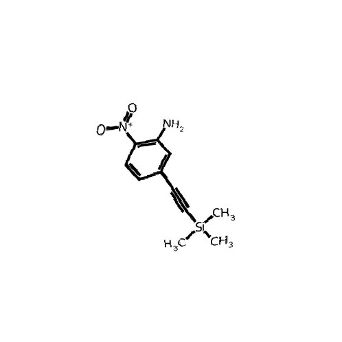 C[Si](C)(C)C#Cc1ccc([N+](=O)[O-])c(N)c1